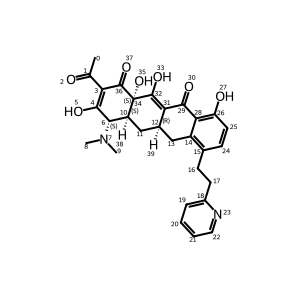 CC(=O)C1=C(O)[C@@H](N(C)C)[C@@H]2C[C@@H]3Cc4c(CCc5ccccn5)ccc(O)c4C(=O)C3=C(O)[C@]2(O)C1=O